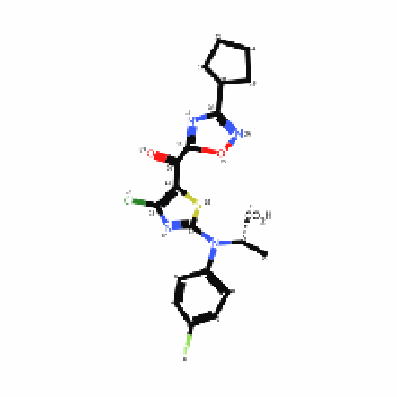 C[C@@H](C(=O)O)N(c1ccc(F)cc1)c1nc(Cl)c(C(=O)c2nc(C3CCCC3)no2)s1